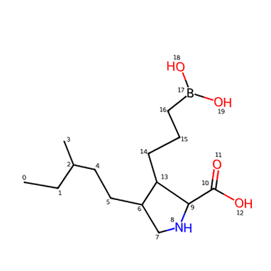 CCC(C)CCC1CNC(C(=O)O)C1CCCB(O)O